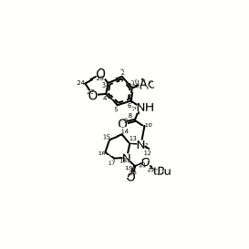 CC(=O)c1cc2c(cc1NC(=O)CN(C)C1CCCCN1C(=O)OC(C)(C)C)OCO2